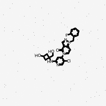 O=c1c2cnn(Cc3ccccc3F)c2ccn1-c1cc(NC2(CO)CC(O)C2)ncc1Cl